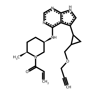 C#CCOCC1CC1c1c[nH]c2ncnc(N[C@@H]3CC[C@H](C)N(C(=O)C=C)C3)c12